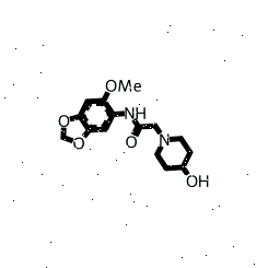 COc1cc2c(cc1NC(=O)CN1CCC(O)CC1)OCO2